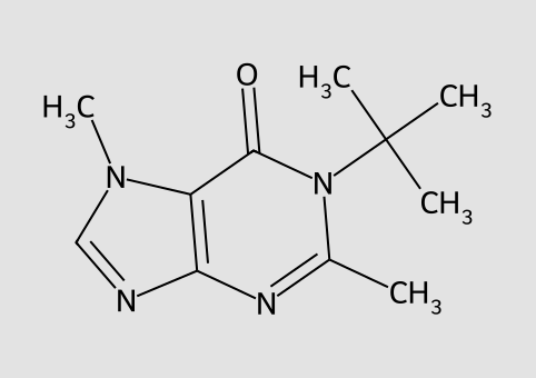 Cc1nc2ncn(C)c2c(=O)n1C(C)(C)C